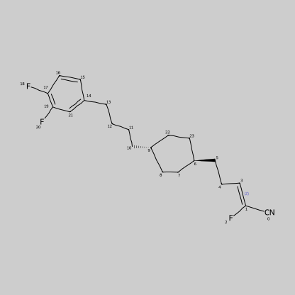 N#C/C(F)=C/CC[C@H]1CC[C@H](CCCCc2ccc(F)c(F)c2)CC1